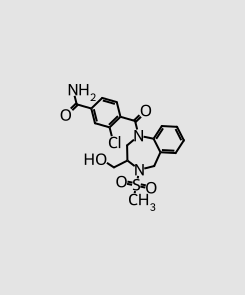 CS(=O)(=O)N1Cc2ccccc2N(C(=O)c2ccc(C(N)=O)cc2Cl)CC1CO